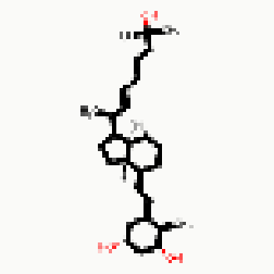 C=C1/C(=C/C=C2\CCC[C@]3(C)C(C(C)/C=C/CCCC(C)(C)O)CC[C@@H]23)C[C@@H](O)C[C@@H]1O